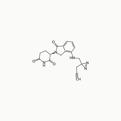 C#CCC1(CNc2cccc3c2CN([C@@H]2CCC(=O)NC2=O)C3=O)N=N1